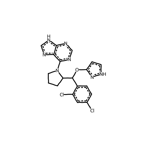 Clc1ccc(C(Oc2cc[nH]n2)C2CCCN2c2ncnc3[nH]cnc23)c(Cl)c1